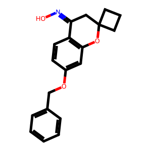 O/N=C1/CC2(CCC2)Oc2cc(OCc3ccccc3)ccc21